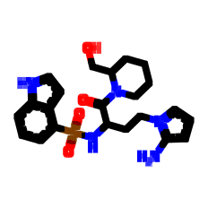 Nc1cccn1CCC(NS(=O)(=O)c1cccc2[nH]ccc12)C(=O)N1CCCCC1CO